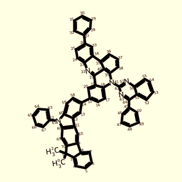 CC1(C)c2ccccc2-c2cc3c4cc(-c5ccc6c(c5)-c5nc7ccc(-c8ccccc8)cc7c7cccc(c57)N6c5nc(-c6ccccc6)c6ccccc6n5)ccc4n(-c4ccccc4)c3cc21